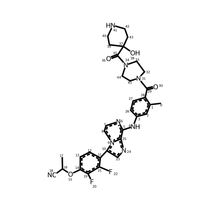 Cc1cc(Nc2nccn3c(-c4ccc(OC(C)C#N)c(F)c4F)cnc23)ccc1C(=O)N1CCN(C(=O)C2(O)CCNCC2)CC1